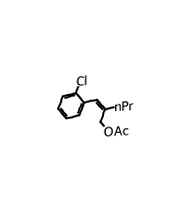 CCCC(=Cc1ccccc1Cl)COC(C)=O